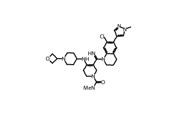 CNC(=O)N1CCC(NC2CCN(C3COC3)CC2)=C(C(=N)N2CCCc3cc(-c4cnn(C)c4)c(Cl)cc32)C1